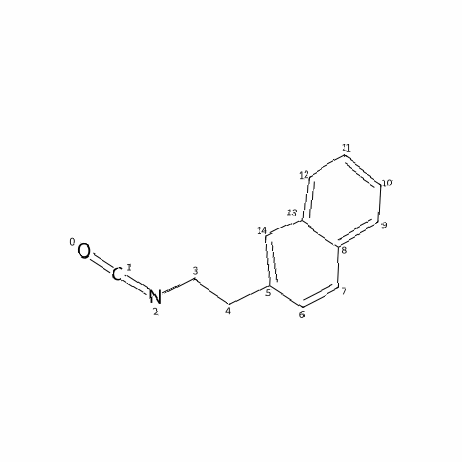 O=C=NCCc1ccc2ccccc2c1